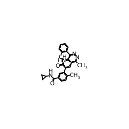 Cc1ccc(C(=O)NC2CC2)cc1-c1cc2c(C)nnc(-c3ccccc3C)c2[nH]c1=O